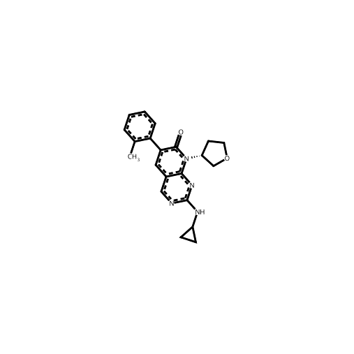 Cc1ccccc1-c1cc2cnc(NC3CC3)nc2n([C@@H]2CCOC2)c1=O